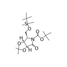 CC(C)(C)OC(=O)N1C(=O)[C@@H]2OC(C)(C)O[C@@H]2[C@H]1CO[Si](C)(C)C(C)(C)C